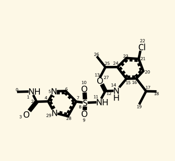 CNC(=O)c1ncc(S(=O)(=O)NC(=O)Nc2c(C(C)C)cc(Cl)cc2C(C)C)cn1